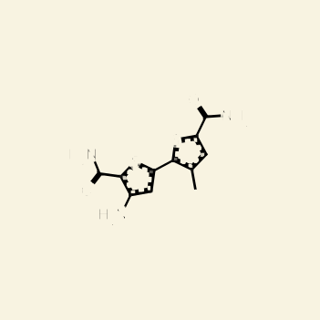 Cc1cc(C(N)=O)sc1-c1cc(N)c(C(N)=O)s1